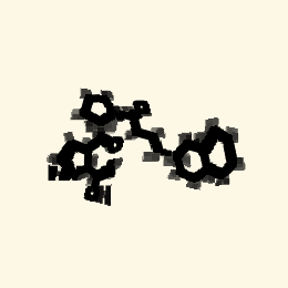 O=C(C1CCN[C@@H]1C(O)=S)[C@@H]1CCCN1C(=O)CCC[C@H]1CCc2ccccc2C1